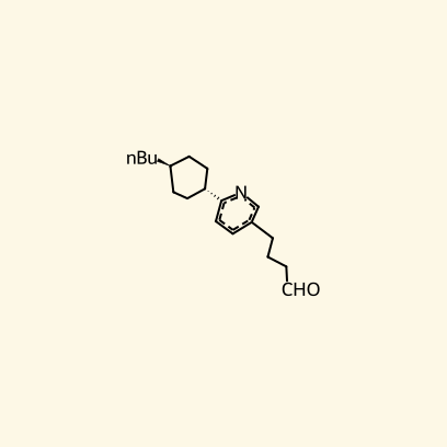 CCCC[C@H]1CC[C@H](c2ccc(CCCC=O)cn2)CC1